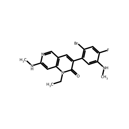 CCn1c(=O)c(-c2cc(NC)c(F)cc2Br)cc2cnc(NC)cc21